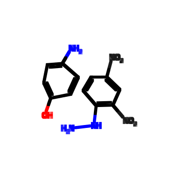 NNc1ccc([N+](=O)[O-])cc1[N+](=O)[O-].Nc1ccc(O)cc1